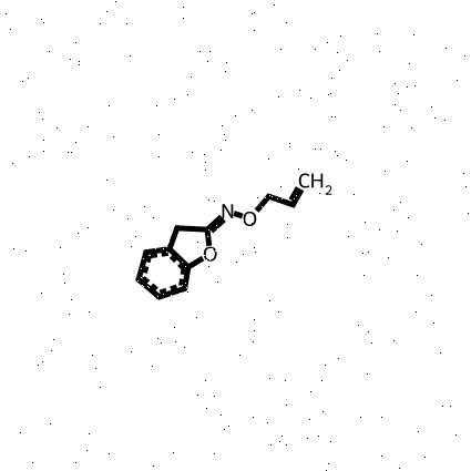 C=CCON=C1Cc2ccccc2O1